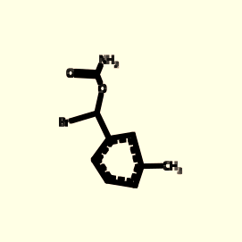 Cc1cccc(C(Br)OC(N)=O)c1